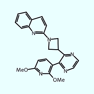 COc1ccc(-c2nccnc2C2CN(c3ccc4ccccc4n3)C2)c(OC)n1